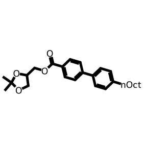 CCCCCCCCc1ccc(-c2ccc(C(=O)OCC3COC(C)(C)O3)cc2)cc1